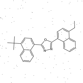 CCc1ccc(-c2nnc(-c3ccc(C(C)(C)C)c4ccccc34)o2)c2ccccc12